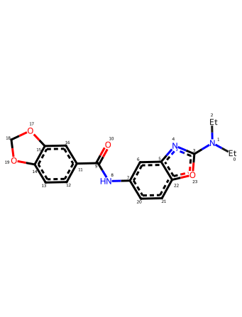 CCN(CC)c1nc2cc(NC(=O)c3ccc4c(c3)OCO4)ccc2o1